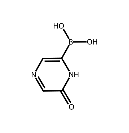 O=c1cncc(B(O)O)[nH]1